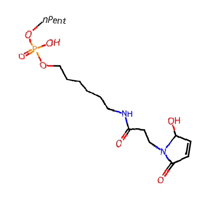 CCCCCOP(=O)(O)OCCCCCCNC(=O)CCN1C(=O)C=CC1O